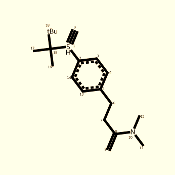 C#[SH](c1ccc(CCC(=C)N(C)C)cc1)C(C)(C)C(C)(C)C